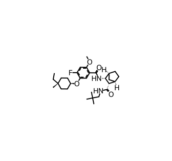 CC[C@]1(C)CC[C@@H](Oc2cc(C(=O)N[C@@H]3[C@H]4CC[C@H](C4)[C@@H]3C(=O)NCC(C)(C)C)c(OC)cc2F)CC1